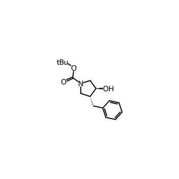 CC(C)(C)OC(=O)N1C[C@@H](Cc2ccccc2)[C@H](O)C1